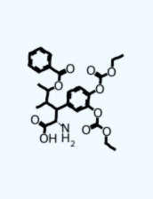 CCOC(=O)Oc1ccc(C(C(C)C(C)OC(=O)c2ccccc2)[C@H](N)C(=O)O)cc1OC(=O)OCC